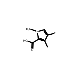 Cc1c(F)cn(N)c1C(=O)O